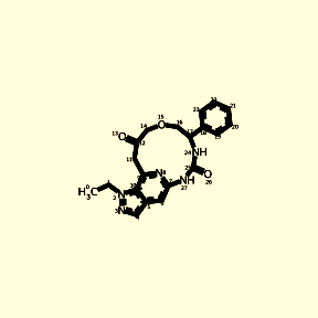 CCn1ncc2cc3nc(c21)CC(=O)COCC(c1ccccc1)NC(=O)N3